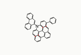 c1ccc(-c2ccc(N(c3ccccc3-c3cccc4cccc(-c5ccccc5)c34)c3cc4ccccc4c4ccccc34)cc2)cc1